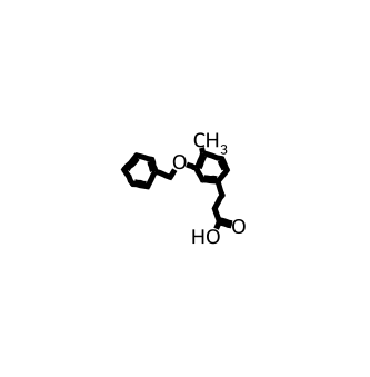 Cc1ccc(CCC(=O)O)cc1OCc1ccccc1